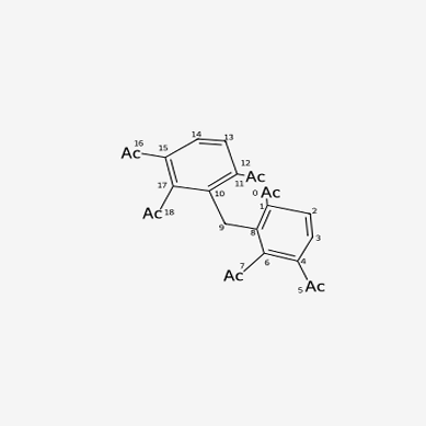 CC(=O)c1ccc(C(C)=O)c(C(C)=O)c1Cc1c(C(C)=O)ccc(C(C)=O)c1C(C)=O